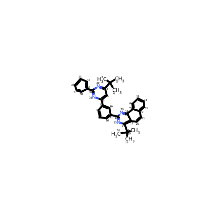 CC(C)(C)c1cc(-c2cccc(-c3nc(C(C)(C)C)c4ccc5ccccc5c4n3)c2)nc(-c2ccccc2)n1